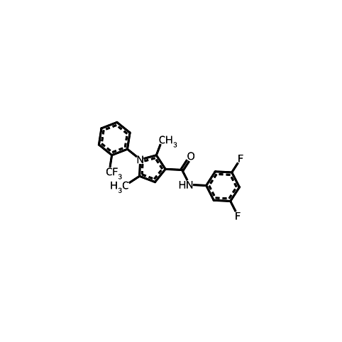 Cc1cc(C(=O)Nc2cc(F)cc(F)c2)c(C)n1-c1ccccc1C(F)(F)F